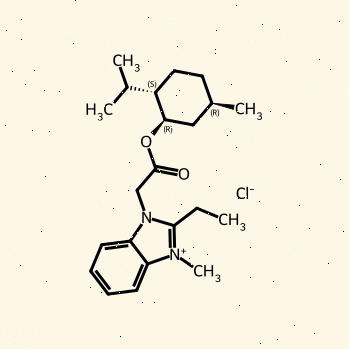 CCc1n(CC(=O)O[C@@H]2C[C@H](C)CC[C@H]2C(C)C)c2ccccc2[n+]1C.[Cl-]